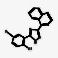 Oc1ccc(F)cc1-c1nc(-c2nccc3ccccc23)n[nH]1